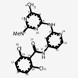 CNc1nc(C)cc(Nc2cc(NC(=O)c3c(Cl)cccc3Cl)ccn2)n1